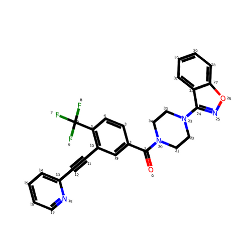 O=C(c1ccc(C(F)(F)F)c(C#Cc2ccccn2)c1)N1CCN(c2noc3ccccc23)CC1